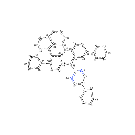 c1ccc(-c2cnc(-c3c4cc(-c5ccccc5)ccc4c(-c4cccc5ccccc45)c4cc(-c5ccccc5)ccc34)nc2)cc1